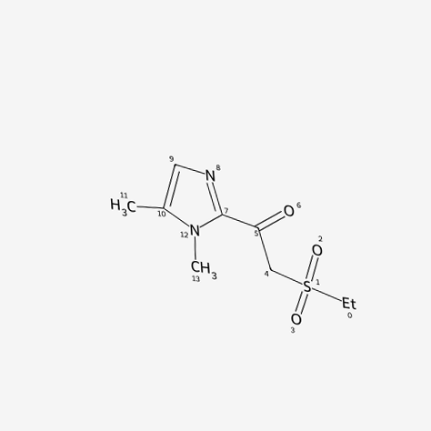 CCS(=O)(=O)CC(=O)c1ncc(C)n1C